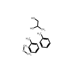 CC(O)CO.COC.Cc1ccccc1.Cc1ccccc1